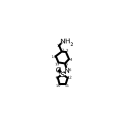 NCC1CCC(N=S2(=O)CCCC2)CC1